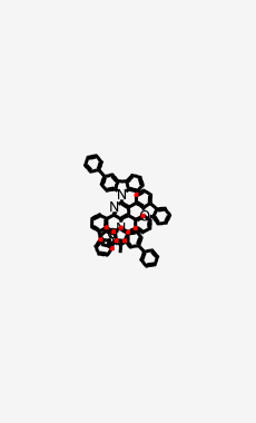 Cc1cc(-c2ccccc2-c2c(-c3cccc4c3oc3ccccc34)c(-n3c4ccccc4c4cc(-c5ccccc5)ccc43)nc(-c3cccc4c3oc3ccccc34)c2-n2c3ccccc3c3cc(-c4ccccc4)ccc32)cc(C)n1